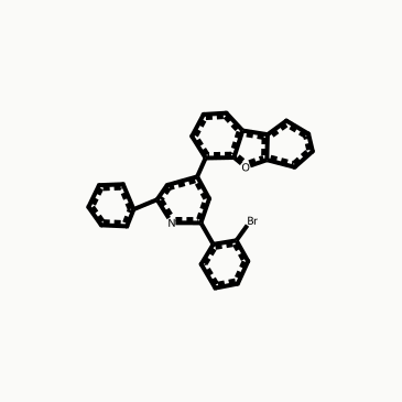 Brc1ccccc1-c1cc(-c2cccc3c2oc2ccccc23)cc(-c2ccccc2)n1